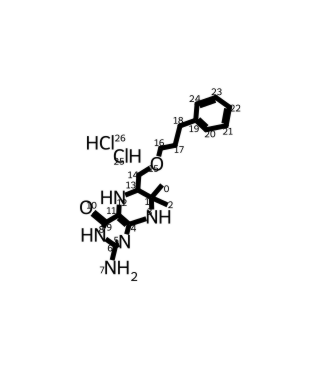 CC1(C)Nc2nc(N)[nH]c(=O)c2NC1COCCCc1ccccc1.Cl.Cl